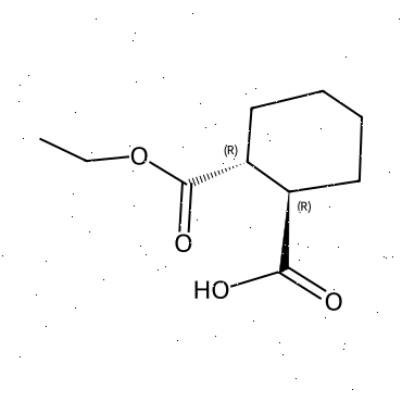 CCOC(=O)[C@@H]1CCCC[C@H]1C(=O)O